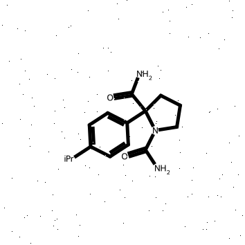 CC(C)c1ccc(C2(C(N)=O)CCCN2C(N)=O)cc1